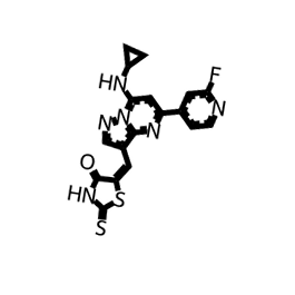 O=C1NC(=S)SC1=Cc1cnn2c(NC3CC3)cc(-c3ccnc(F)c3)nc12